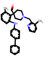 Cc1cccnc1CN1CCC(C=O)(c2c(C)cccc2Nc2ccc(-c3ccccc3)cc2)CC1